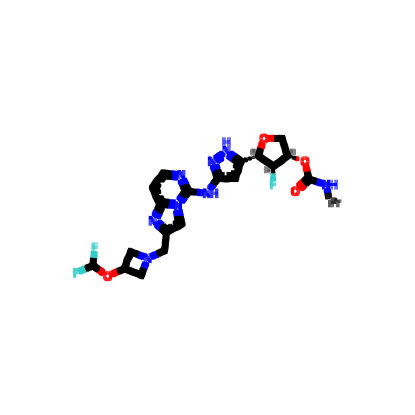 CC(C)NC(=O)O[C@H]1CO[C@@H](c2cc(Nc3nccc4nc(CN5CC(OC(F)F)C5)cn34)n[nH]2)[C@@H]1F